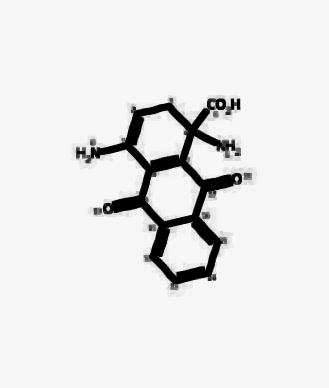 NC1=CCC(N)(C(=O)O)C2=C1C(=O)c1ccccc1C2=O